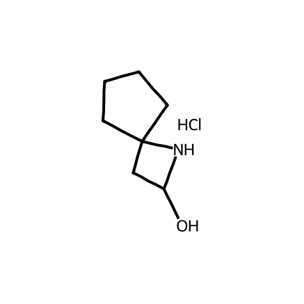 Cl.OC1CC2(CCCC2)N1